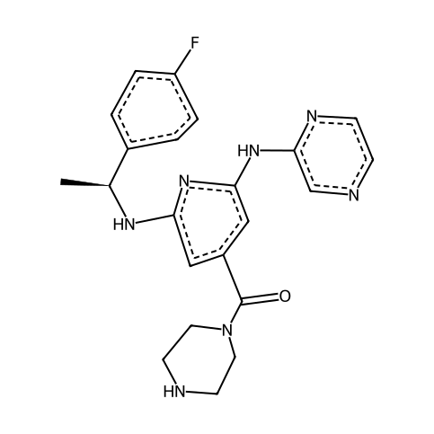 C[C@H](Nc1cc(C(=O)N2CCNCC2)cc(Nc2cnccn2)n1)c1ccc(F)cc1